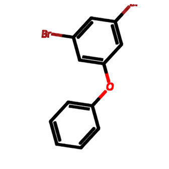 Brc1cc(Br)cc(Oc2ccccc2)c1